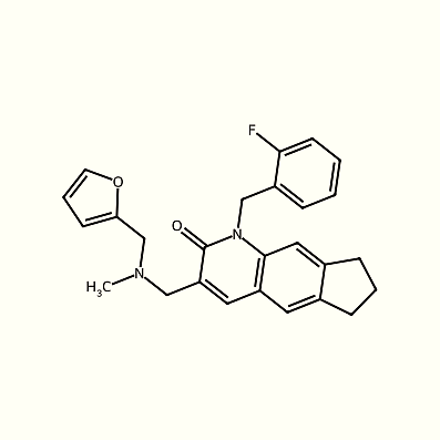 CN(Cc1ccco1)Cc1cc2cc3c(cc2n(Cc2ccccc2F)c1=O)CCC3